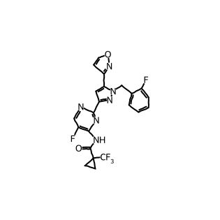 O=C(Nc1nc(-c2cc(-c3ccon3)n(Cc3ccccc3F)n2)ncc1F)C1(C(F)(F)F)CC1